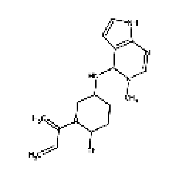 C=CC(=C)N1CC(NC2c3cc[nH]c3N=CN2C)CCC1CC